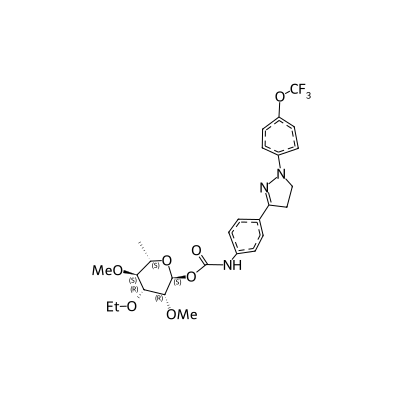 CCO[C@@H]1[C@@H](OC)[C@H](C)O[C@@H](OC(=O)Nc2ccc(C3=NN(c4ccc(OC(F)(F)F)cc4)CC3)cc2)[C@@H]1OC